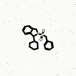 O=S(=O)(Cc1ccccc1)N1Cc2ccccc2C1C1CCCCC1